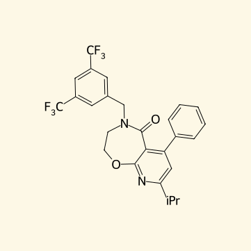 CC(C)c1cc(-c2ccccc2)c2c(n1)OCCN(Cc1cc(C(F)(F)F)cc(C(F)(F)F)c1)C2=O